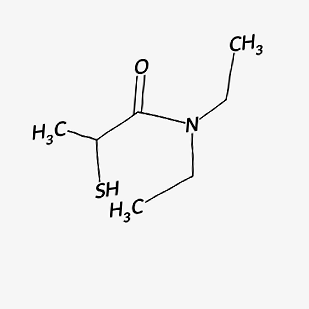 CCN(CC)C(=O)C(C)S